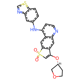 O=S1(=O)C=C(O[C@@H]2CCOC2)c2cc3nccc(Nc4ccc5scnc5c4)c3cc21